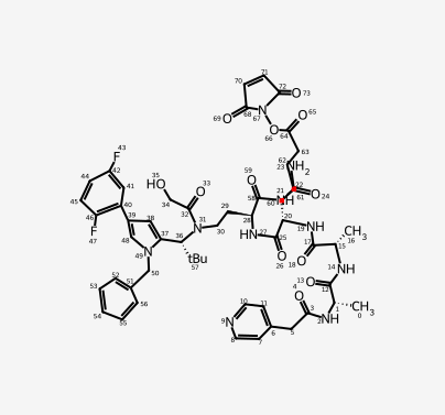 C[C@H](NC(=O)Cc1ccncc1)C(=O)N[C@@H](C)C(=O)N[C@@H](CC(N)=O)C(=O)N[C@@H](CCN(C(=O)CO)[C@@H](c1cc(-c2cc(F)ccc2F)cn1Cc1ccccc1)C(C)(C)C)C(=O)NCCCC(=O)ON1C(=O)C=CC1=O